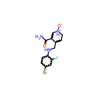 NC(=O)C1=C[NH+]([O-])CC=C1CNc1ccc(Br)cc1F